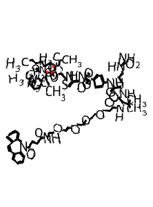 CCCCCCN(C(=O)[C@@H](NC(=O)[C@H]1CCCCN1C)[C@@H](C)CC)[C@H](C[C@@H](OC(C)=O)c1nc(C(=O)NS(=O)(=O)c2ccc(NC(=O)[C@H](CCCNC(N)=O)NC(=O)[C@@H](NC(=O)CCOCCOCCOCCOCCNC(=O)CCC(=O)N3Cc4ccccc4C#Cc4ccccc43)C(C)C)cc2)cs1)C(C)C